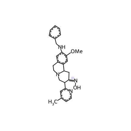 COc1cc2c(cc1NCc1ccccc1)CCN1CC(c3cc(C)ccn3)/C(=N\O)CC21